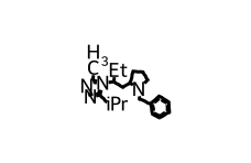 CCC(CC1CCCN1Cc1ccccc1)n1c(C)nnc1C(C)C